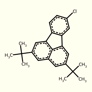 CC(C)(C)c1cc2c3c(cc(C(C)(C)C)cc3c1)-c1cc(Cl)ccc1-2